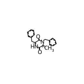 C[C@@H]1C(=O)N[C@@H](Cc2ccccc2)C(=O)N1Cc1ccccc1